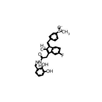 CC1=C(CC(=O)N/N=C\c2cccc(O)c2O)c2cc(F)ccc2/C1=C\c1ccc([S+](C)[O-])cc1